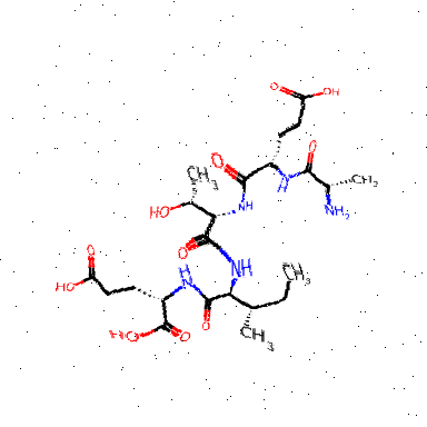 CC[C@H](C)[C@H](NC(=O)[C@@H](NC(=O)[C@H](CCC(=O)O)NC(=O)[C@H](C)N)[C@@H](C)O)C(=O)N[C@@H](CCC(=O)O)C(=O)O